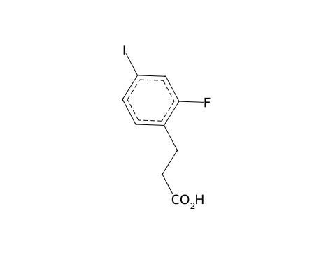 O=C(O)CCc1ccc(I)cc1F